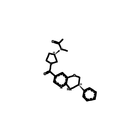 CC(=O)N(C)[C@H]1CCN(C(=O)c2cnc3c(c2)OC[C@H](c2ccccc2)N3)C1